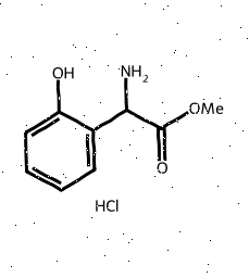 COC(=O)C(N)c1ccccc1O.Cl